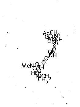 CNc1ccc(C(=O)Nc2nc(C)c(C)s2)c(NC(=O)CCOCCOCCNC(=O)CN2CCN(c3ccc(Nc4ncc5c(C)c(C(C)=O)c(=O)n(C6CCCC6)c5n4)nc3)CC2)c1